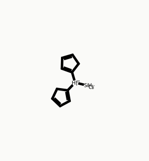 [Cl-].[SiH3][Hf+]([C]1=CC=CC1)[C]1=CC=CC1